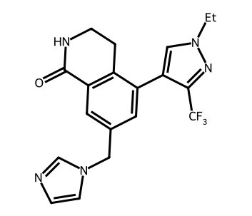 CCn1cc(-c2cc(Cn3ccnc3)cc3c2CCNC3=O)c(C(F)(F)F)n1